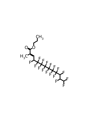 CCCOC(=O)C(C)=CC(F)C(F)(F)C(F)(F)C(F)(F)C(F)(F)C(F)(F)C(F)(F)C(F)C(F)C(F)F